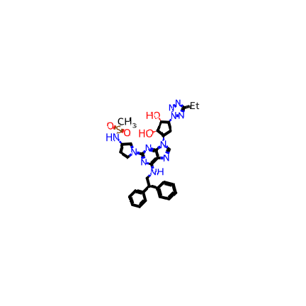 CCc1nnn([C@H]2C[C@@H](n3cnc4c(NCC(c5ccccc5)c5ccccc5)nc(N5CC[C@@H](NS(C)(=O)=O)C5)nc43)[C@H](O)[C@@H]2O)n1